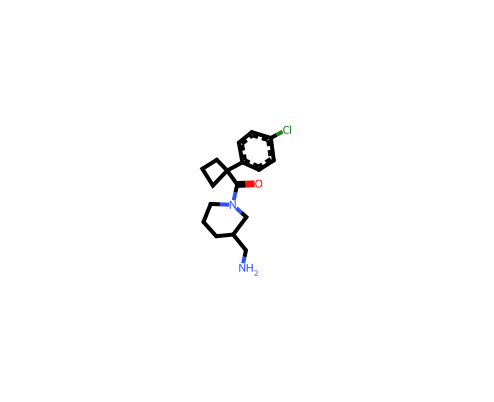 NCC1CCCN(C(=O)C2(c3ccc(Cl)cc3)CCC2)C1